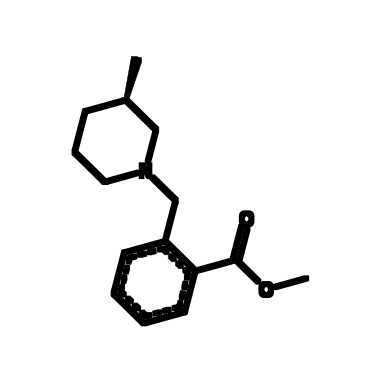 COC(=O)c1ccccc1CN1CCC[C@@H](C)C1